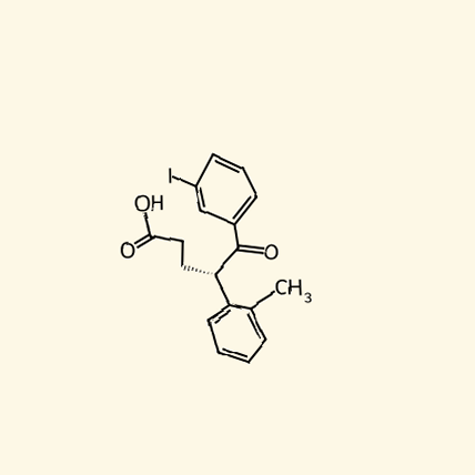 Cc1ccccc1[C@H](CCC(=O)O)C(=O)c1cccc(I)c1